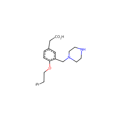 CC(C)CCOc1ccc(CC(=O)O)cc1CN1CCNCC1